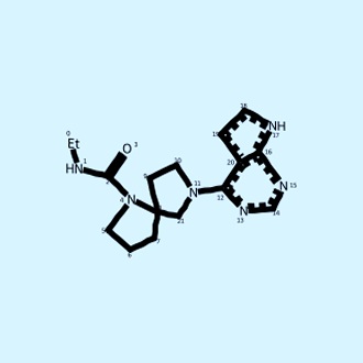 CCNC(=O)N1CCCC12CCN(c1ncnc3[nH]ccc13)C2